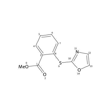 COC(=O)c1ccccc1Sc1ncco1